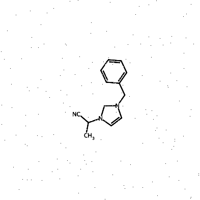 CC(C#N)N1C=CN(Cc2ccccc2)C1